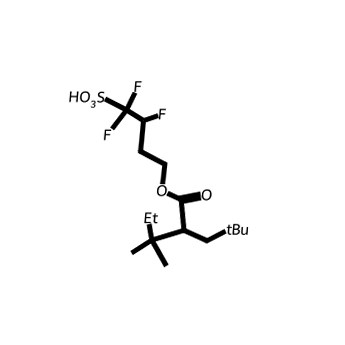 CCC(C)(C)C(CC(C)(C)C)C(=O)OCCC(F)C(F)(F)S(=O)(=O)O